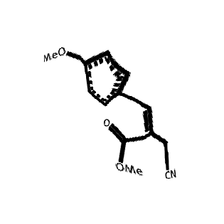 COC(=O)C(=Cc1ccc(OC)cc1)CC#N